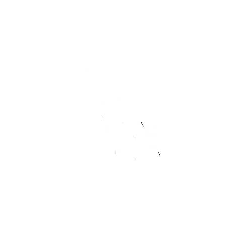 CC(C)C[C@H](NC(=O)c1cc2ccccc2o1)C(=O)N1C[C@@H](F)[C@H]2OCC(=O)[C@H]21